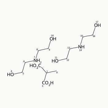 CC(C(=O)O)C(=O)O.OCCNCCO.OCCNCCO